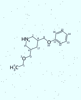 CCOCC1CNCC(COc2ccccc2)C1